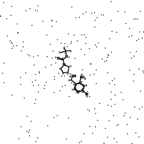 CC(C)(C)OC(=O)N1CC[C@@H](NCc2ccc(Br)cc2N)C1